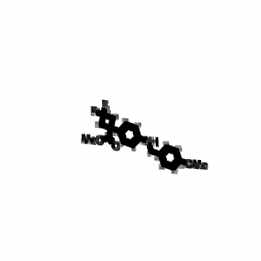 COC(=O)C1(c2ccc(NCc3ccc(OC)cc3)cc2)CC(F)(F)C1